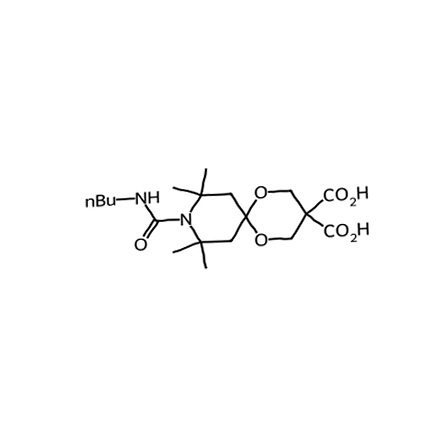 CCCCNC(=O)N1C(C)(C)CC2(CC1(C)C)OCC(C(=O)O)(C(=O)O)CO2